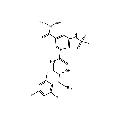 CCCN(CCC)C(=O)c1cc(NS(C)(=O)=O)cc(C(=O)N[C@@H](Cc2cc(F)cc(F)c2)[C@H](O)CN)c1